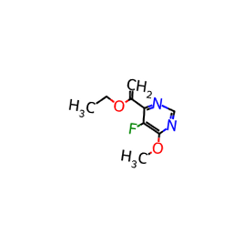 C=C(OCC)c1ncnc(OC)c1F